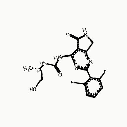 C[C@@H](CO)NC(=O)Nc1nc(-c2c(F)cccc2F)nc2c1C(=O)NC2